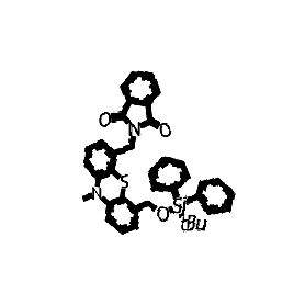 CN1c2cccc(CO[Si](c3ccccc3)(c3ccccc3)C(C)(C)C)c2Sc2c(CN3C(=O)c4ccccc4C3=O)cccc21